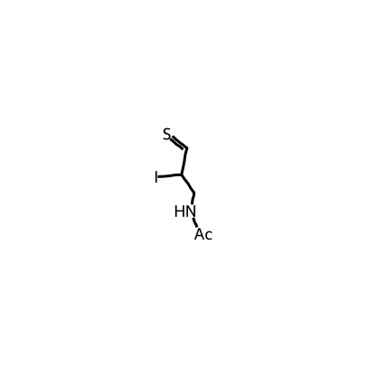 CC(=O)NCC(I)C=S